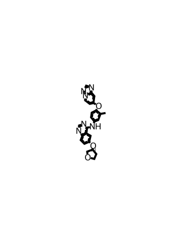 Cc1cc(Nc2ncnc3ccc(O[C@H]4CCOC4)cc23)ccc1Oc1ccn2ncnc2c1